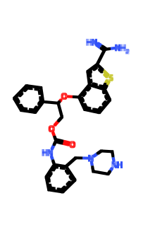 N=C(N)c1cc2c(OC(COC(=O)Nc3ccccc3CN3CCNCC3)c3ccccc3)cccc2s1